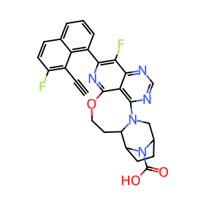 C#Cc1c(F)ccc2cccc(-c3nc4c5c(ncnc5c3F)N3CC5CCC(C3CCO4)N5C(=O)O)c12